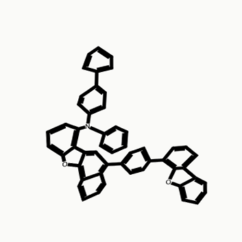 c1ccc(-c2ccc(N(c3ccccc3)c3cccc4oc5c6ccccc6c(-c6ccc(-c7cccc8c7oc7ccccc78)cc6)cc5c34)cc2)cc1